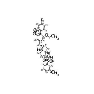 CCOc1cc(CN2CC[C@H]3C(NS(=O)(=O)c4cccc(C)c4)CC[C@H]32)cc(OC)c1-c1ccc(F)cc1